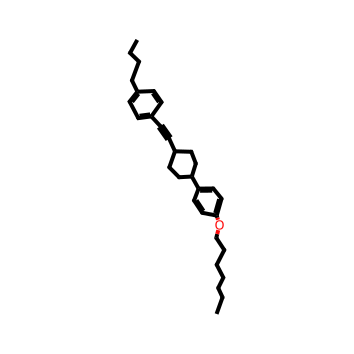 CCCCCCCOc1ccc(C2CCC(C#Cc3ccc(CCCC)cc3)CC2)cc1